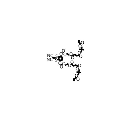 C=CC(=O)OCC(C)(C)COC(=O)CCC(=O)OCCOC(=O)Oc1ccc(OC(=O)OCCOC(=O)CCC(=O)OCC(C)(C)COC(=O)C=C)c2c1SC(=C(C#N)C#N)S2